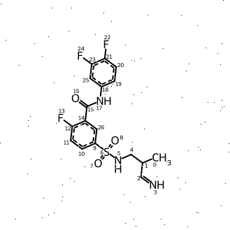 CC(C=N)CNS(=O)(=O)c1ccc(F)c(C(=O)Nc2ccc(F)c(F)c2)c1